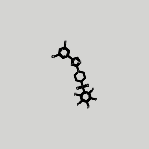 O=S(=O)(c1c(F)c(F)c(F)c(F)c1F)C1CCN(c2nc(-c3cc(F)cc(Cl)c3)cs2)CC1